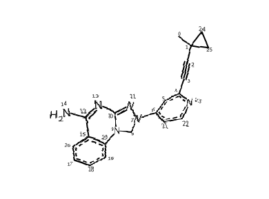 CC1(C#Cc2cc(N3CN4C(=N3)N=C(N)c3ccccc34)ccn2)CC1